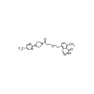 Cc1ccc(CCOCCC(=O)N2CCN(c3ncc(C(F)(F)F)cn3)CC2)c2cn[nH]c(=O)c12